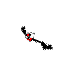 Cc1ncoc1-c1ccc([C@H](C)NC(=O)[C@@H]2C[C@@H](O)CN2C(=O)[C@@H](NC(=O)COCCCOCCCCOc2ccc(N3C(=S)N(c4ccc(C#N)c(C(F)(F)F)c4)C(=O)C3(C)C)cc2)C(C)(C)C)cc1